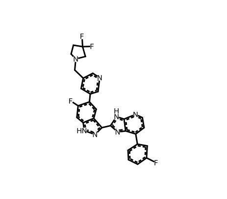 Fc1cccc(-c2ccnc3[nH]c(-c4n[nH]c5cc(F)c(-c6cncc(CN7CCC(F)(F)C7)c6)cc45)nc23)c1